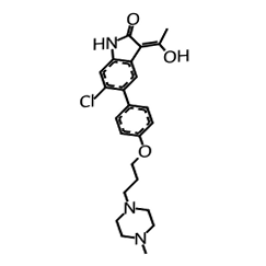 C/C(O)=C1\C(=O)Nc2cc(Cl)c(-c3ccc(OCCCN4CCN(C)CC4)cc3)cc21